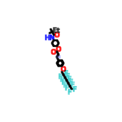 CCC(C)(C)C(=O)N[C@H]1CC[C@H](OC(=O)/C=C/c2ccc(OCC(F)(F)C(F)(F)C(F)(F)C(F)(F)C(F)(F)C(F)F)cc2)CC1